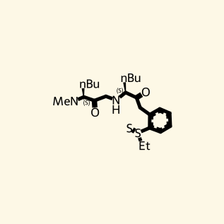 CCCC[C@H](NC)C(=O)CN[C@@H](CCCC)C(=O)Cc1ccccc1S(=S)CC